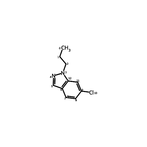 CCCn1ncc2ccc(Cl)cc21